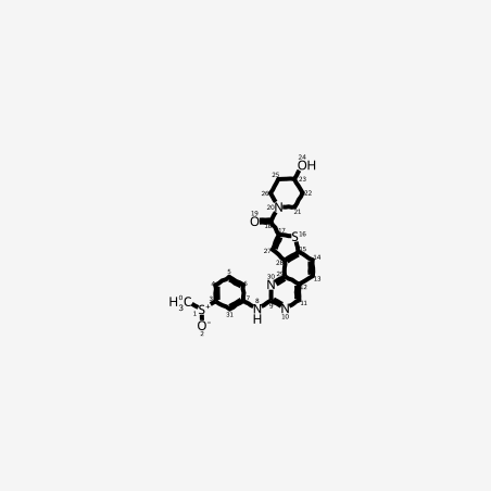 C[S+]([O-])c1cccc(Nc2ncc3ccc4sc(C(=O)N5CCC(O)CC5)cc4c3n2)c1